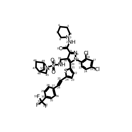 O=C(NN1CCCCC1)c1nn(-c2ccc(Cl)cc2Cl)c(-c2ccc(C#Cc3ccc(C(F)(F)F)cc3)s2)c1CNS(=O)(=O)N1CC2CCC1C2